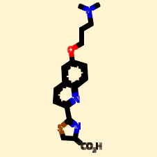 CN(C)CCCOc1ccc2nc(C3=NC(C(=O)O)CS3)ccc2c1